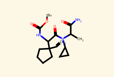 C=CC1(C(NC(=O)OC(C)(C)C)C(=O)N(C2CC2)C(C)C(N)=O)CCCC1